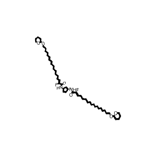 O=C(N[C@@H]1CC[C@H](NC(=O)/C(F)=C/CCCCCCCCCCCCCCCOC2CCCCO2)C1)/C(F)=C/CCCCCCCCCCCCCCCOC1CCCCO1